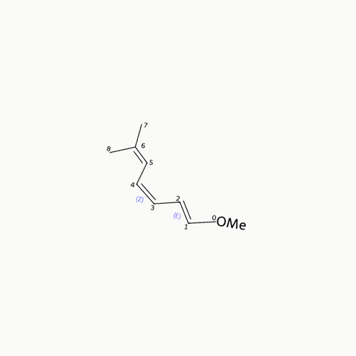 CO/C=C/C=C\C=C(C)C